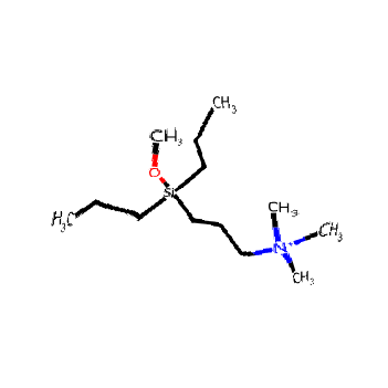 CCC[Si](CCC)(CCC[N+](C)(C)C)OC